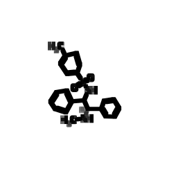 CN[C@@H](c1ccccc1)C(NS(=O)(=O)c1ccc(C)cc1)c1ccccc1